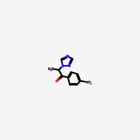 CC(C(=O)c1ccc(C(F)(F)F)cc1)n1cncn1